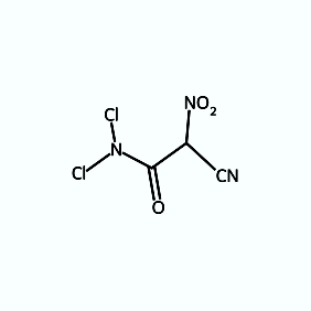 N#CC(C(=O)N(Cl)Cl)[N+](=O)[O-]